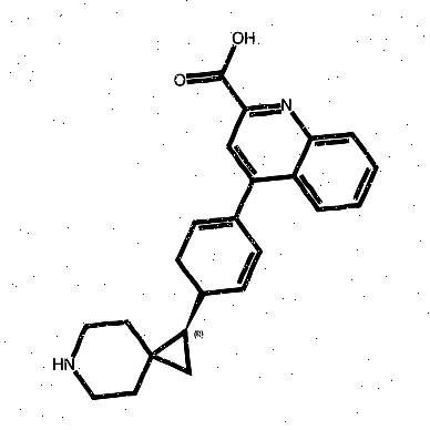 O=C(O)c1cc(C2=CCC([C@H]3CC34CCNCC4)C=C2)c2ccccc2n1